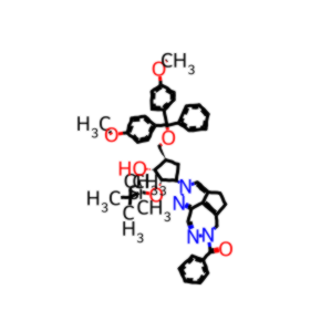 COc1ccc(C(OC[C@H]2C[C@@H](N3C=C4CCC5=C4C(=N3)C=NN(C(=O)c3ccccc3)C5)[C@H](O[Si](C)(C)C(C)(C)C)[C@@H]2O)(c2ccccc2)c2ccc(OC)cc2)cc1